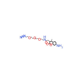 Cc1c(CC(=O)NCCOCCOCCOCCN=[N+]=[N-])c(=O)oc2cc(N)ccc12